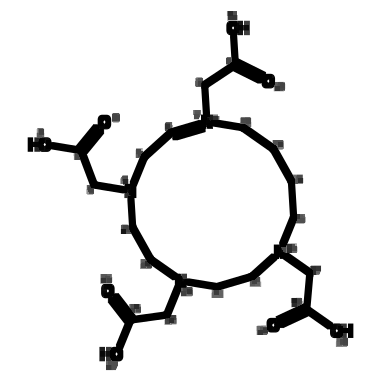 O=C(O)CN1C/C=[N+](/CC(=O)O)CCCCN(CC(=O)O)CCN(CC(=O)O)CC1